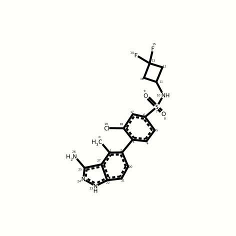 Cc1c(-c2ccc(S(=O)(=O)NC3CC(F)(F)C3)cc2Cl)ccc2[nH]nc(N)c12